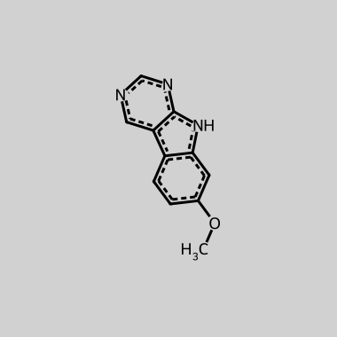 COc1ccc2c(c1)[nH]c1ncncc12